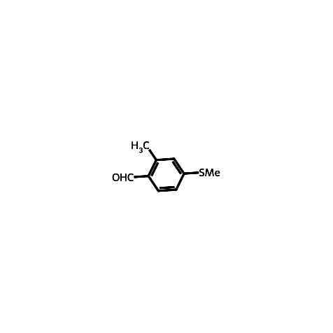 CSc1ccc(C=O)c(C)c1